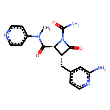 CN(C(=O)[C@@H]1[C@@H](Cc2ccnc(N)c2)C(=O)N1C(N)=O)c1ccncc1